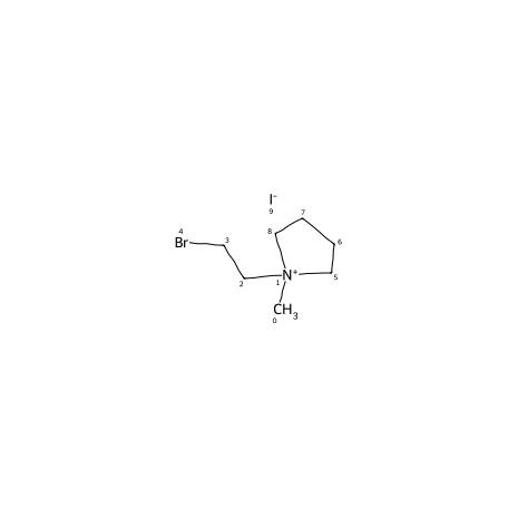 C[N+]1(CCBr)CCCC1.[I-]